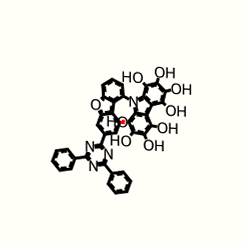 Oc1c(O)c(O)c2c(c1O)c1c(O)c(O)c(O)c(O)c1n2-c1cccc2oc3cc(-c4nc(-c5ccccc5)nc(-c5ccccc5)n4)ccc3c12